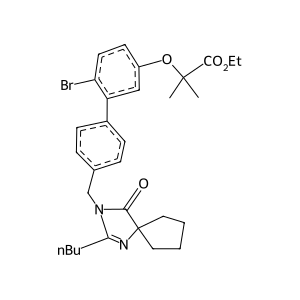 CCCCC1=NC2(CCCC2)C(=O)N1Cc1ccc(-c2cc(OC(C)(C)C(=O)OCC)ccc2Br)cc1